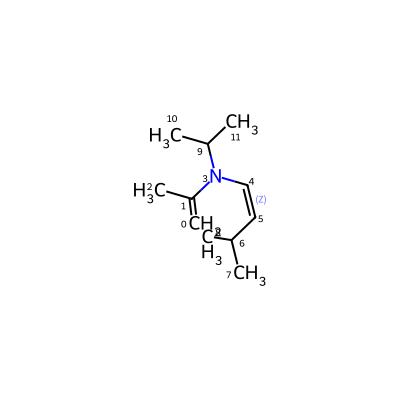 C=C(C)N(/C=C\C(C)C)C(C)C